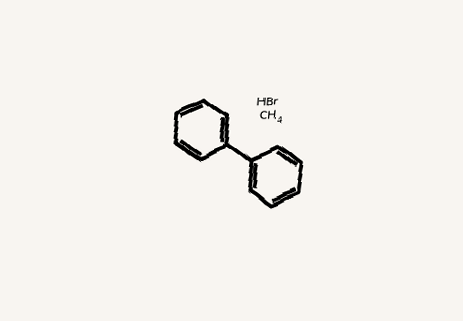 Br.C.c1ccc(-c2ccccc2)cc1